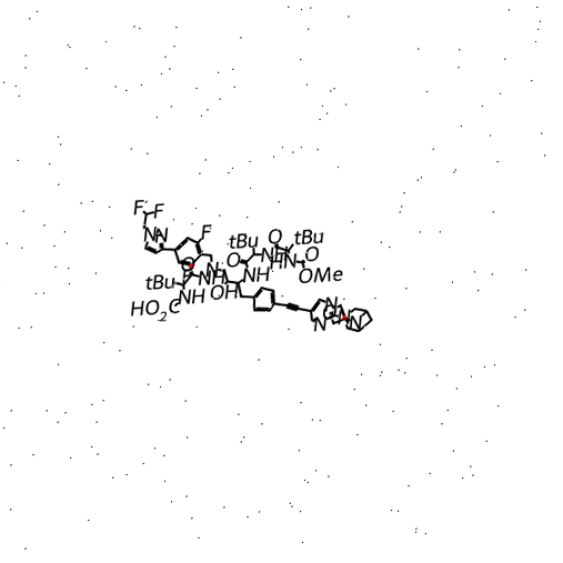 COC(=O)NC(C(=O)NC(C(=O)NC(Cc1ccc(C#Cc2cnc(N3CC4CC(C3)N4C3COC3)nc2)cc1)C(O)CN(Cc1c(F)cc(-c2ccn(CC(F)F)n2)cc1F)NC(=O)C(NC(=O)O)C(C)(C)C)C(C)(C)C)C(C)(C)C